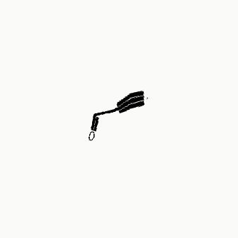 [C]#CC=O